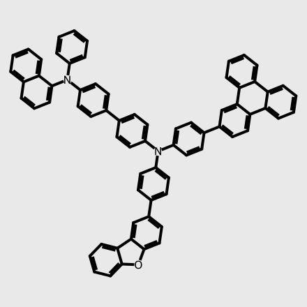 c1ccc(N(c2ccc(-c3ccc(N(c4ccc(-c5ccc6oc7ccccc7c6c5)cc4)c4ccc(-c5ccc6c7ccccc7c7ccccc7c6c5)cc4)cc3)cc2)c2cccc3ccccc23)cc1